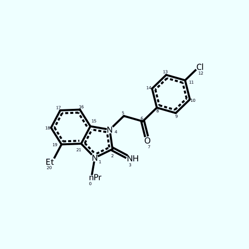 CCCn1c(=N)n(CC(=O)c2ccc(Cl)cc2)c2cccc(CC)c21